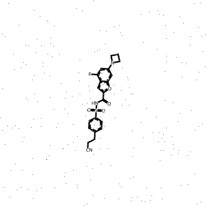 N#CCCc1ccc(S(=O)(=O)NC(=O)c2cc3c(F)cc(N4CCC4)cc3o2)cc1